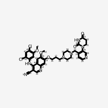 COc1cc(Nc2c(C#N)cnc3cc(OCCCN4CCN(Cc5ccncc5N5CCC(=O)NC5=O)CC4)c(OC)cc23)c(Cl)cc1Cl